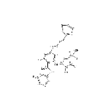 Cc1nc(NCCOc2ccccc2)nc(N[C@@H]2C[C@H](C(C)(C)O)[C@@H](O)[C@H]2O)c1-c1nc2c(C)nccc2s1